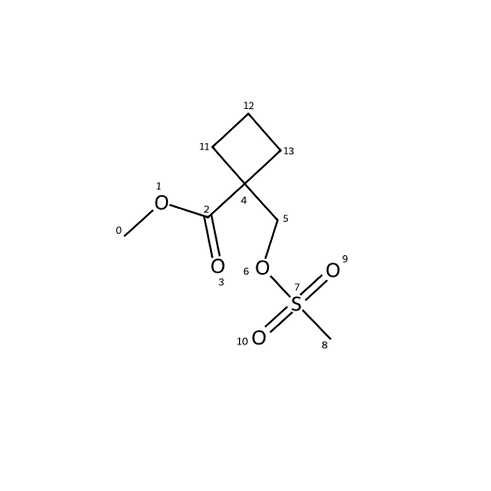 COC(=O)C1(COS(C)(=O)=O)CCC1